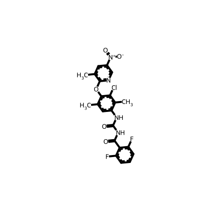 Cc1cc([N+](=O)[O-])cnc1Oc1c(C)cc(NC(=O)NC(=O)c2c(F)cccc2F)c(C)c1Cl